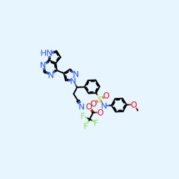 COc1ccc(N(OC(=O)C(F)(F)F)S(=O)(=O)c2cccc(C(CC#N)n3cc(-c4ncnc5[nH]ccc45)cn3)c2)cc1